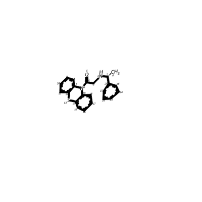 C[C@@H](NCC(=O)N1c2ccccc2Sc2ccccc21)c1ccccc1